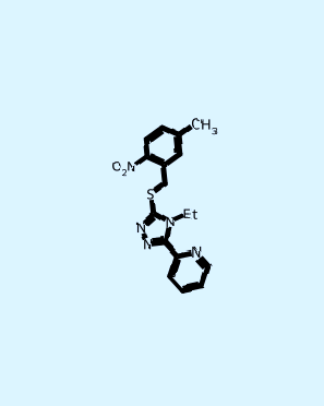 CCn1c(SCc2cc(C)ccc2[N+](=O)[O-])nnc1-c1ccccn1